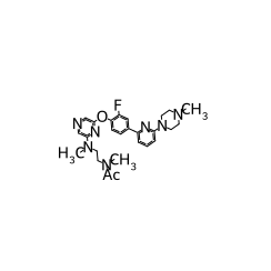 CC(=O)N(C)CCN(C)c1cncc(Oc2ccc(-c3cccc(N4CCN(C)CC4)n3)cc2F)n1